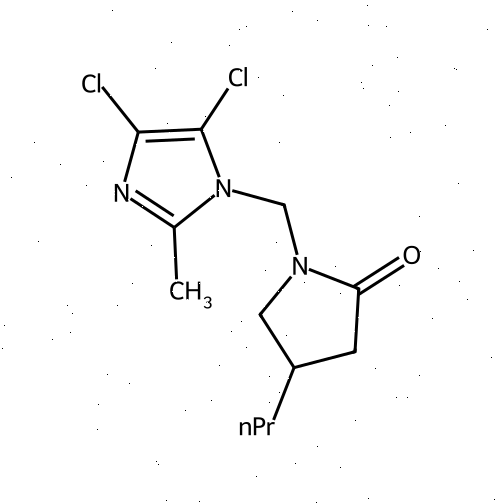 CCCC1CC(=O)N(Cn2c(C)nc(Cl)c2Cl)C1